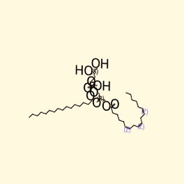 CCCCC/C=C\C/C=C\C/C=C\CCCCC(=O)OC[C@H](COP(=O)(O)OC[C@@H](O)CO)OC(=O)CCCCCCCCCCCCCCC